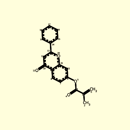 C=C(C)C(=O)Oc1ccc2c(=O)cc(-c3ccccc3)oc2c1